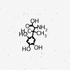 CC(C)(c1cc(O)c(O)cc1O)C(N)C(=O)O